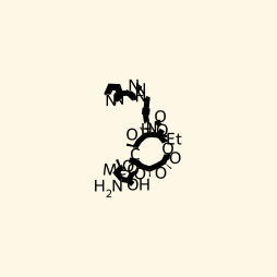 CC[C@H]1OC(=O)[C@H](C)C(=O)[C@H](C)[C@@H](O[C@@H]2O[C@H](C)CC(N)C2O)[C@](C)(OC)C[C@@H](C)C(=O)[C@H](C)[C@H]2N(CC#CCn3cc(-c4cccnn4)nn3)C(=O)O[C@]12C